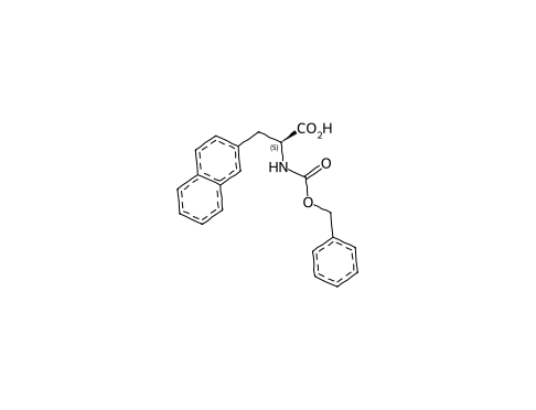 O=C(N[C@@H](Cc1ccc2ccccc2c1)C(=O)O)OCc1ccccc1